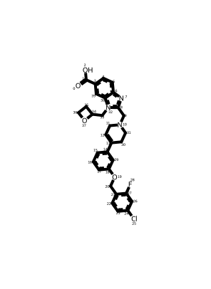 O=C(O)c1ccc2nc(CN3CC=C(c4cccc(OCc5ccc(Cl)cc5F)c4)CC3)n(CC3CCO3)c2c1